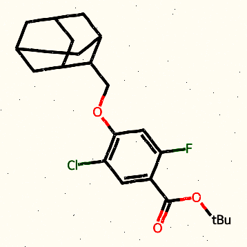 CC(C)(C)OC(=O)c1cc(Cl)c(OCC2C3CC4CC(C3)CC2C4)cc1F